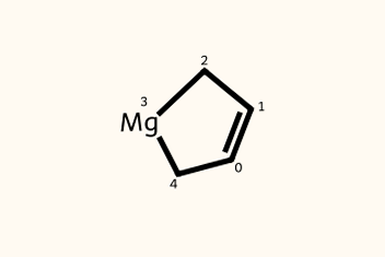 C1=C[CH2][Mg][CH2]1